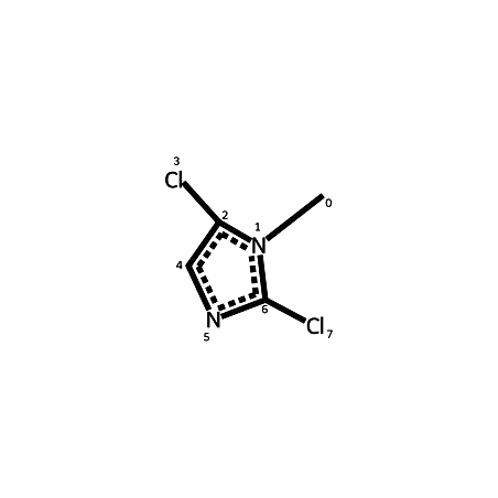 Cn1c(Cl)cnc1Cl